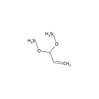 C=CC(O[SiH3])O[SiH3]